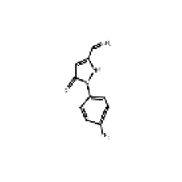 C=Cc1cc(=O)n(-c2ccc(C)cc2)[nH]1